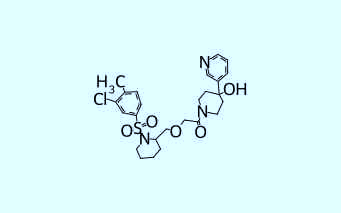 Cc1ccc(S(=O)(=O)N2CCCCC2COCC(=O)N2CCC(O)(c3cccnc3)CC2)cc1Cl